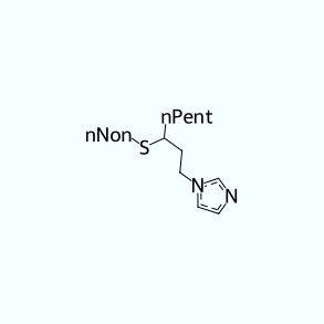 CCCCCCCCCSC(CCCCC)CCn1ccnc1